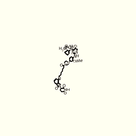 COc1cc(N2CCN(C(=O)CCCCCCOc3cccc4c3CN(C3CCC(=O)NC3=O)C4=O)CC2)ccc1Nc1ncc(Cl)c(Nc2ccccc2P(C)(C)=O)n1